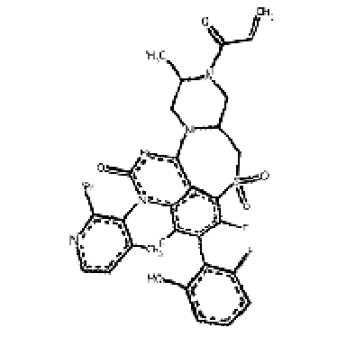 C=CC(=O)N1CC2CS(=O)(=O)c3c(F)c(-c4c(O)cccc4F)c(F)c4c3c(nc(=O)n4-c3c(C)ccnc3C(C)C)N2CC1C